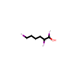 OC(I)C(I)CCCCI